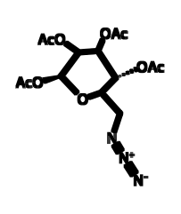 CC(=O)OC1C(OC(C)=O)[C@H](OC(C)=O)C(CN=[N+]=[N-])O[C@H]1OC(C)=O